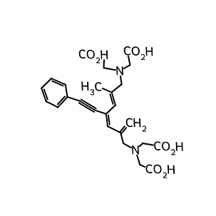 C=C(/C=C(C#Cc1ccccc1)\C=C(/C)CN(CC(=O)O)CC(=O)O)CN(CC(=O)O)CC(=O)O